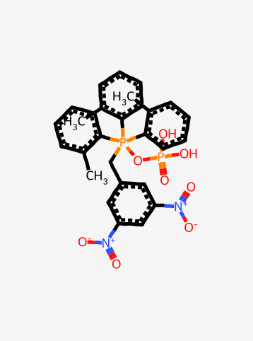 Cc1ccccc1P(Cc1cc([N+](=O)[O-])cc([N+](=O)[O-])c1)(OP(=O)(O)O)(c1ccccc1C)c1ccccc1C